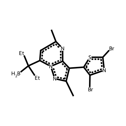 BC(CC)(CC)c1cc(C)nc2c(-c3sc(Br)nc3Br)c(C)nn12